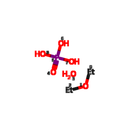 CCOCC.O.O=P(O)(O)O